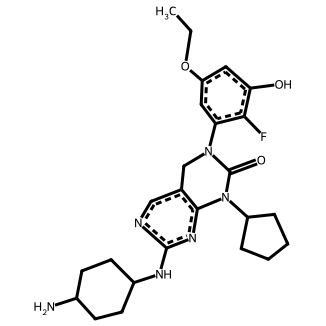 CCOc1cc(O)c(F)c(N2Cc3cnc(NC4CCC(N)CC4)nc3N(C3CCCC3)C2=O)c1